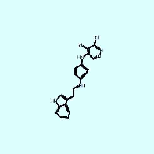 Clc1nncc(Nc2ccc(NCCc3c[nH]c4ccccc34)cc2)c1Cl